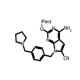 CCC[C@@H](C)Oc1nc(N)c2cc(C#N)n(Cc3ccc(CN4CCCC4)cc3)c2n1